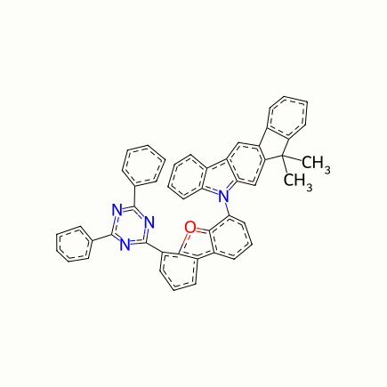 CC1(C)c2ccccc2-c2cc3c4ccccc4n(-c4cccc5c4oc4c(-c6nc(-c7ccccc7)nc(-c7ccccc7)n6)cccc45)c3cc21